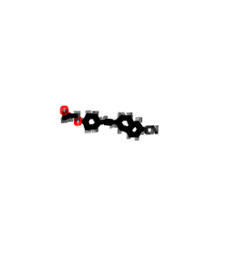 N#Cc1ccc2cc(C#Cc3ccc(OCC4CO4)cc3)ccc2c1